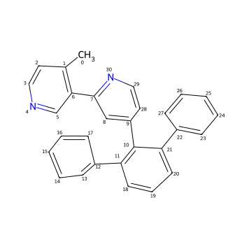 Cc1ccncc1-c1cc(-c2c(-c3ccccc3)cccc2-c2ccccc2)ccn1